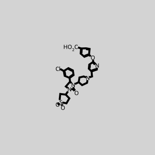 O=C(O)c1ccc(Oc2ccc(CN3CCC(N4C(=O)N(C5CCS(=O)(=O)CC5)CC4c4cccc(Cl)c4)CC3)cn2)cc1